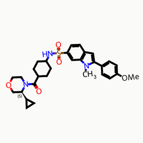 COc1ccc(-c2cc3ccc(S(=O)(=O)NC4CCC(C(=O)N5CCOC[C@@H]5C5CC5)CC4)cc3n2C)cc1